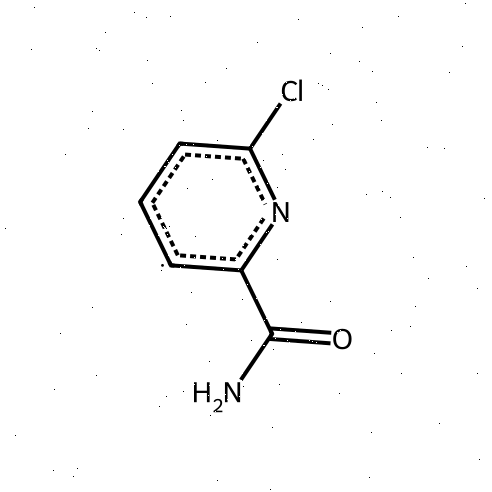 NC(=O)c1[c]ccc(Cl)n1